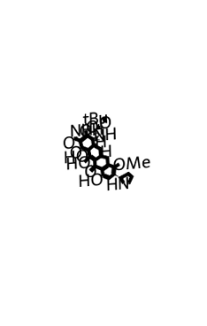 COc1c([C@@H]2CCCN2)cc(O)c2c1C[C@H]1C[C@H]3[C@H](NC(=O)OC(C)(C)C)C(O)=C(C(N)=O)C(=O)[C@@]3(O)C(O)=C1C2=O